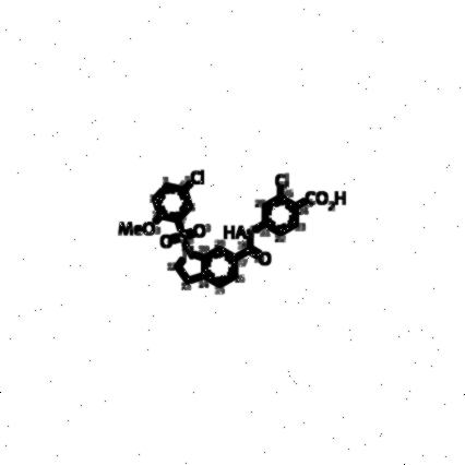 COc1ccc(Cl)cc1S(=O)(=O)N1CCc2ccc(C(=O)[AsH]c3ccc(C(=O)O)c(Cl)c3)cc21